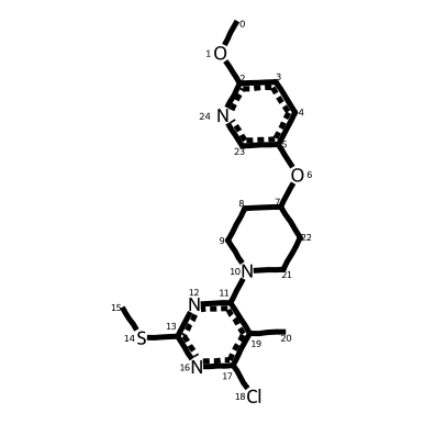 COc1ccc(OC2CCN(c3nc(SC)nc(Cl)c3C)CC2)cn1